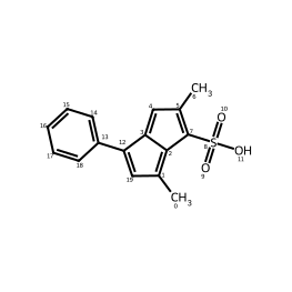 CC1=C2C(=CC(C)=C2S(=O)(=O)O)C(c2ccccc2)=C1